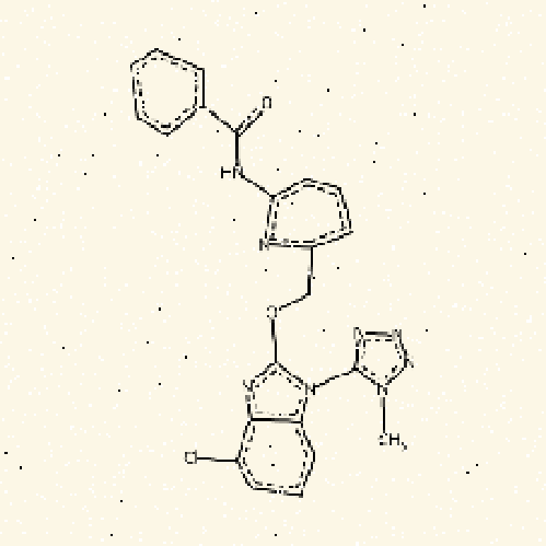 Cn1nnnc1-n1c(OCc2cccc(NC(=O)c3ccccc3)n2)nc2c(Cl)cccc21